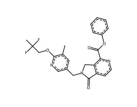 Cc1cc(CN2Cc3c(ccnc3C(=O)Oc3ccccc3)C2=O)cnc1OCC(C)(F)F